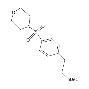 CCCCCCCCCCCCc1ccc(S(=O)(=O)N2CCOCC2)cc1